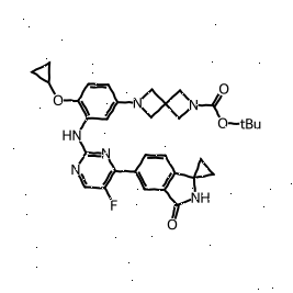 CC(C)(C)OC(=O)N1CC2(C1)CN(c1ccc(OC3CC3)c(Nc3ncc(F)c(-c4ccc5c(c4)C(=O)NC54CC4)n3)c1)C2